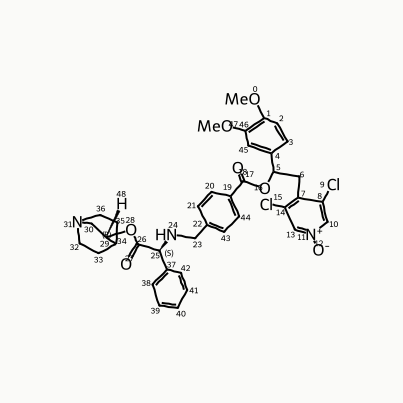 COc1ccc(C(Cc2c(Cl)c[n+]([O-])cc2Cl)OC(=O)c2ccc(CN[C@H](C(=O)O[C@H]3CN4CCC3CC4)c3ccccc3)cc2)cc1OC